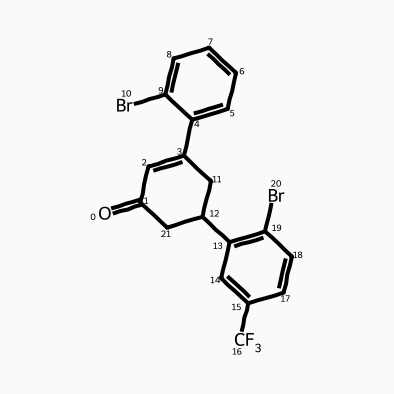 O=C1C=C(c2ccccc2Br)CC(c2cc(C(F)(F)F)ccc2Br)C1